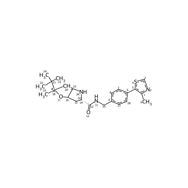 Cc1ncsc1-c1ccc(CNC(=O)[C@@H]2CC(O[Si](C)(C)C(C)(C)C)CN2)cc1